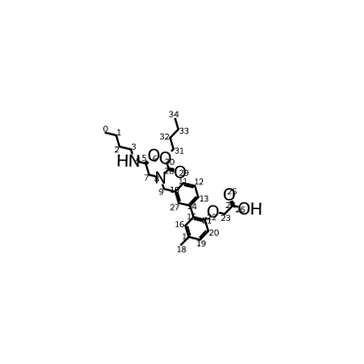 CCCCNC(=O)CN(Cc1cccc(-c2cc(C)ccc2OCC(=O)O)c1)C(=O)OCCCC